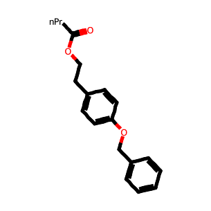 CCCC(=O)OCCc1ccc(OCc2ccccc2)cc1